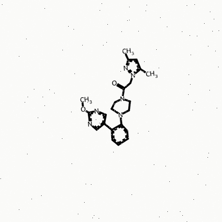 COc1ncc(-c2ccccc2N2CCN(C(=O)Cn3nc(C)cc3C)CC2)cn1